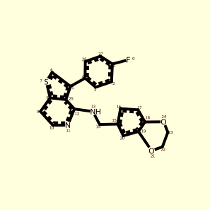 Fc1ccc(-c2csc3ccnc(NCc4ccc5c(c4)OCCO5)c23)cc1